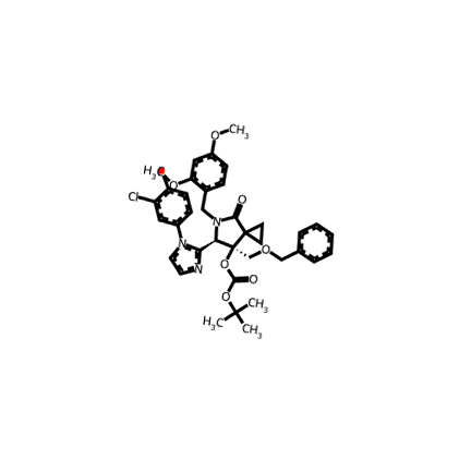 COc1ccc(CN2C(=O)C3(CC3)[C@@](COCc3ccccc3)(OC(=O)OC(C)(C)C)[C@H]2c2nccn2-c2ccc(F)c(Cl)c2)c(OC)c1